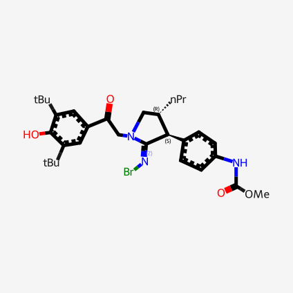 CCC[C@H]1CN(CC(=O)c2cc(C(C)(C)C)c(O)c(C(C)(C)C)c2)/C(=N\Br)[C@@H]1c1ccc(NC(=O)OC)cc1